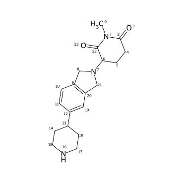 CN1C(=O)CCC(N2Cc3ccc(C4CCNCC4)cc3C2)C1=O